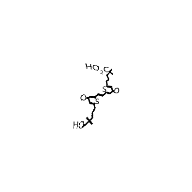 CC(C)(CO)CCCc1cc(=O)cc(/C=C/c2cc(=O)cc(CCCC(C)(C)C(=O)O)s2)s1